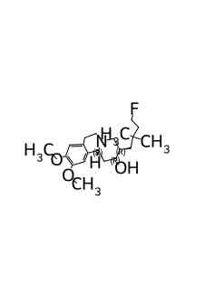 COc1cc2c(cc1OC)[C@H]1C[C@@H](O)[C@H](CC(C)(C)CCF)CN1CC2